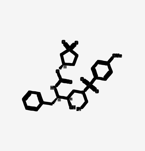 COc1ccc(S(=O)(=O)N(CC(C)C)C[C@@H](O)[C@H](Cc2ccccc2)NC(=O)O[C@H]2CCS(=O)(=O)C2)cc1